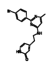 Cc1cc(NCCc2cc[nH]c(=O)c2)nc(-c2ccc(Br)cc2)n1